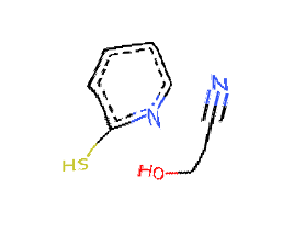 N#CCO.Sc1ccccn1